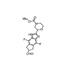 CC(C)(C)OC(=O)N1CCOC(c2nc3c(F)c4c(c(F)c3[nH]2)CC(C=O)C4)C1